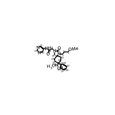 COCCCN1C(=O)N(CC(=O)Nc2cncnc2)C[C@]12CC[C@@](c1ccccc1)(N(C)C)CC2